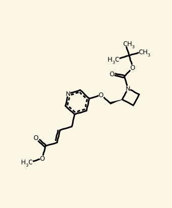 COC(=O)/C=C/Cc1cncc(OC[C@@H]2CCN2C(=O)OC(C)(C)C)c1